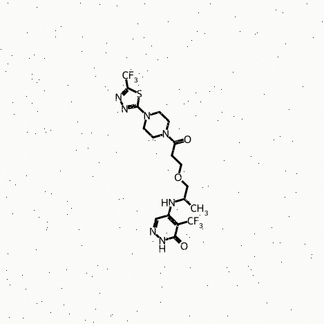 CC(COCCC(=O)N1CCN(c2nnc(C(F)(F)F)s2)CC1)Nc1cn[nH]c(=O)c1C(F)(F)F